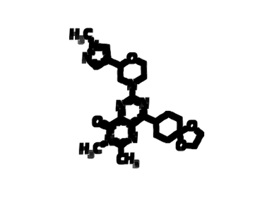 Cc1nc2c(C3CCC4(CC3)OCCO4)nc(N3CCOC(c4cnn(C)c4)C3)nc2c(=O)n1C